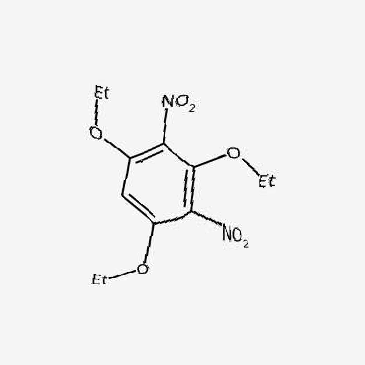 CCOc1cc(OCC)c([N+](=O)[O-])c(OCC)c1[N+](=O)[O-]